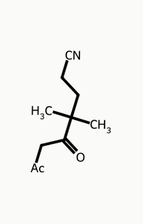 CC(=O)CC(=O)C(C)(C)CCC#N